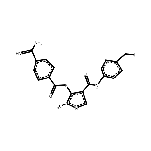 Cn1ncc(C(=O)Nc2ccc(CI)cc2)c1NC(=O)c1ccc(C(=N)N)cc1